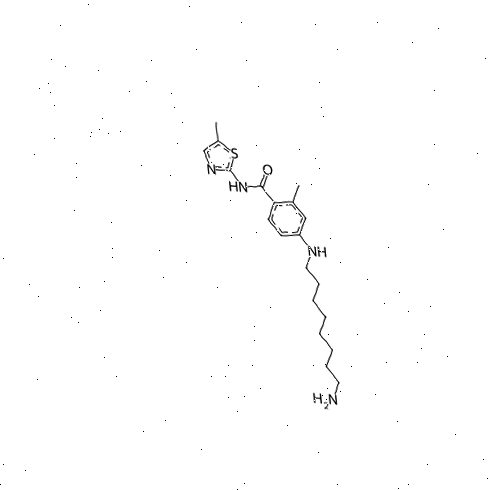 Cc1cnc(NC(=O)c2ccc(NCCCCCCCCN)cc2C)s1